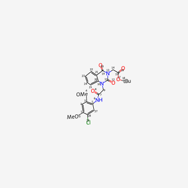 COc1cc(OC)c(NC(=O)Cn2c(=O)n(CC(=O)OC(C)(C)C)c(=O)c3ccccc32)cc1Cl